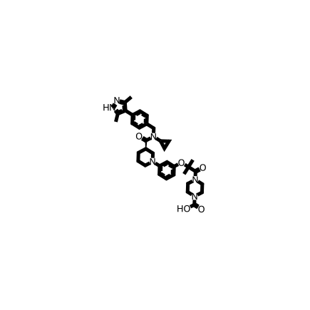 Cc1n[nH]c(C)c1-c1ccc(CN(C(=O)[C@@H]2CCCN(c3cccc(OC(C)(C)C(=O)N4CCN(C(=O)O)CC4)c3)C2)C2CC2)cc1